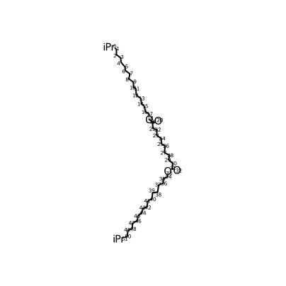 CC(C)CCCCCCCCCCCCCCCCCOC(=O)CCCCCCCCCCC(=O)OCCCCCCCCCCCCCCCCCC(C)C